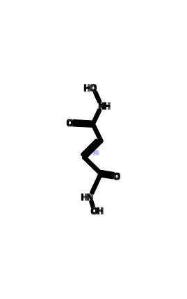 O=C(/C=C/C(=O)NO)NO